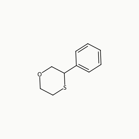 c1ccc(C2COCCS2)cc1